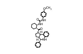 COc1ccc(NC(=O)N[C@@H]2CCCC[C@@H]2C(=O)N2CC[C@@H]3[C@H](c4ccccc4)Nc4ccccc4[C@@H]32)cc1